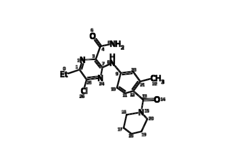 CCc1nc(C(N)=O)c(Nc2ccc(C(=O)N3CCCCC3)c(C)c2)nc1Cl